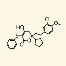 COc1ccc(CCC2(C3CCCC3)CC(O)=C(Sc3ccccc3)C(=O)O2)cc1Cl